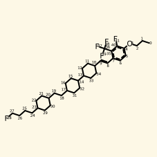 CCCOc1ccc(/C=C/C2CCC(C3CCC(CCC4CCC(CCCCF)CC4)CC3)CC2)c(C(F)(F)F)c1F